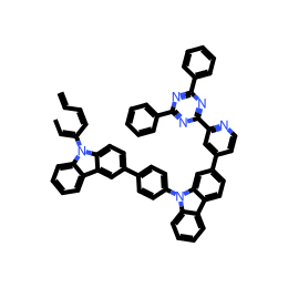 C=C/C=C\C(=C/C)n1c2ccccc2c2cc(-c3ccc(-n4c5ccccc5c5ccc(-c6ccnc(-c7nc(-c8ccccc8)nc(-c8ccccc8)n7)c6)cc54)cc3)ccc21